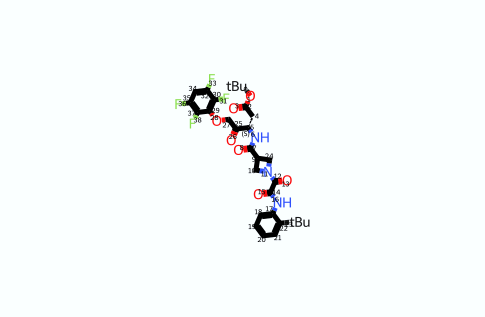 CC(C)(C)OC(=O)C[C@H](NC(=O)C1CN(C(=O)C(=O)Nc2ccccc2C(C)(C)C)C1)C(=O)COc1c(F)c(F)cc(F)c1F